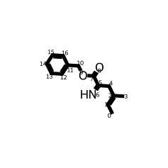 CC=C(C)CC(=N)C(=O)OCc1ccccc1